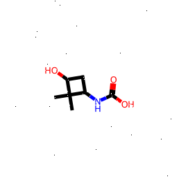 CC1(C)C(O)CC1NC(=O)O